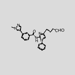 Cn1cc(-c2cccc(C(=O)Nc3nc(CCCC=O)cn3-c3ccccc3)c2)cn1